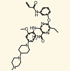 C=CC(=O)Nc1cccc(Oc2nc(Nc3ccc(N4CCC(N5CCN(C)CC5)CC4)cc3OC)c(C(N)=O)nc2CC)c1